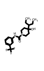 CCC(CC)C1(O)CCN(C(=O)Nc2cccc(C(F)(F)F)c2)CC1